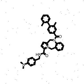 Cc1ccccc1-c1ccc(C(=O)N2Cc3ccc(C(=O)NCc4ccc(N(C)C)cc4)n3Cc3ccccc32)cc1C